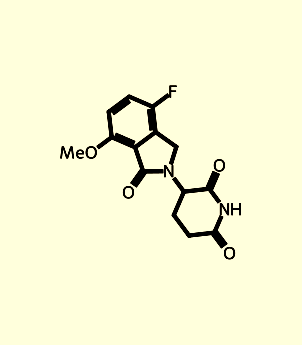 COc1ccc(F)c2c1C(=O)N(C1CCC(=O)NC1=O)C2